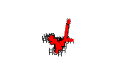 CC/C=C\C=C/[C@@H](O)[C@H](CO[C@@H]1OC(CO)[C@@H](O[C@@H]2OC(CO)[C@H](O[C@@H]3OC(CO)[C@H](O)C(O[C@@H]4OC(CO)[C@H](O)C(O)C4O)C3NC(C)=O)C(O[C@]3(C=O)CC(O)[C@@H](NC(C)=O)C([C@H](O)[C@H](O)CO)O3)C2O)C(O)C1O)NC(=O)CCCCCCCCCCCCCCCCC